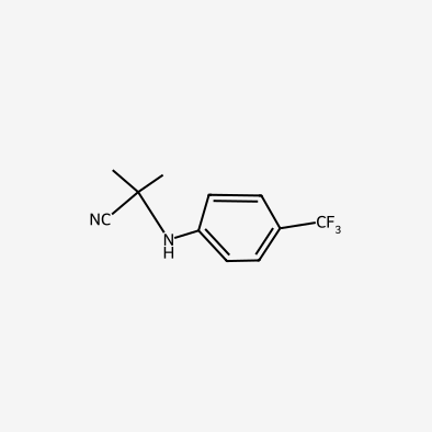 CC(C)(C#N)Nc1ccc(C(F)(F)F)cc1